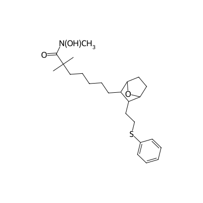 CN(O)C(=O)C(C)(C)CCCCCC1C2CCC(O2)C1CCSc1ccccc1